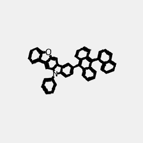 c1ccc(-n2c3ccc(-c4c5ccccc5c(-c5cccc6ccccc56)c5ccccc45)cc3c3cc4oc5ccccc5c4cc32)cc1